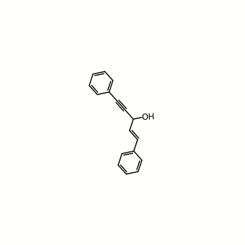 OC(C#Cc1ccccc1)C=Cc1ccccc1